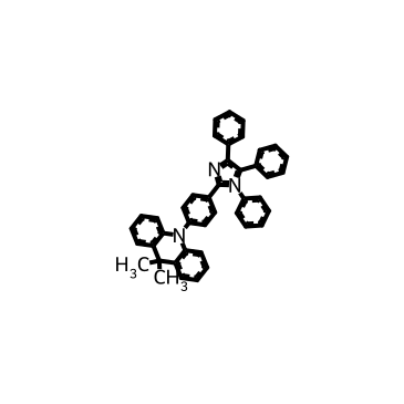 CC1(C)c2ccccc2N(c2ccc(-c3nc(-c4ccccc4)c(-c4ccccc4)n3-c3ccccc3)cc2)c2ccccc21